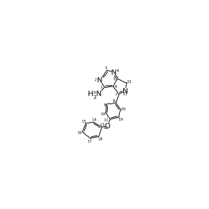 Nc1ncnc2c1C(c1ccc(Oc3ccccc3)cc1)=NC2